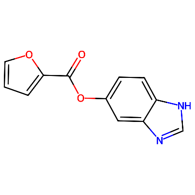 O=C(Oc1ccc2[nH]cnc2c1)c1ccco1